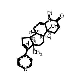 CCN1C(=O)CC[C@@]2(C)C1=CC[C@@H]1[C@@H]2CC[C@]2(C)C(c3ccncc3)=CC[C@@H]12